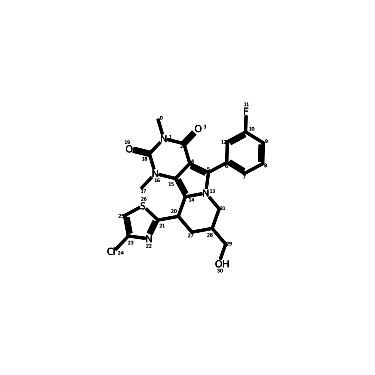 Cn1c(=O)c2c(-c3cccc(F)c3)n3c(c2n(C)c1=O)C(c1nc(Cl)cs1)CC(CO)C3